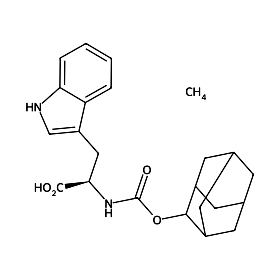 C.O=C(N[C@H](Cc1c[nH]c2ccccc12)C(=O)O)OC1C2CC3CC(C2)CC1C3